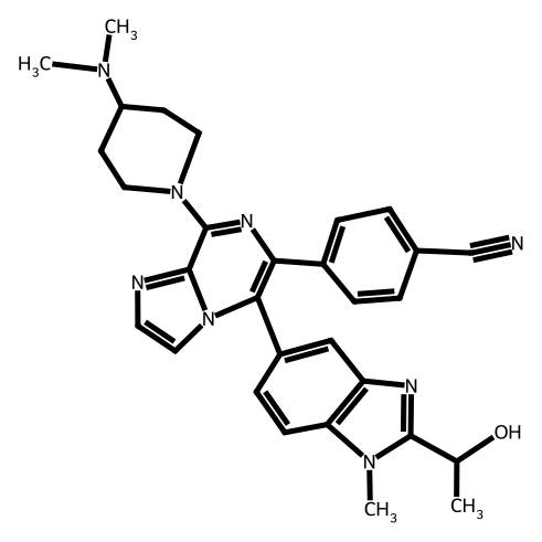 CC(O)c1nc2cc(-c3c(-c4ccc(C#N)cc4)nc(N4CCC(N(C)C)CC4)c4nccn34)ccc2n1C